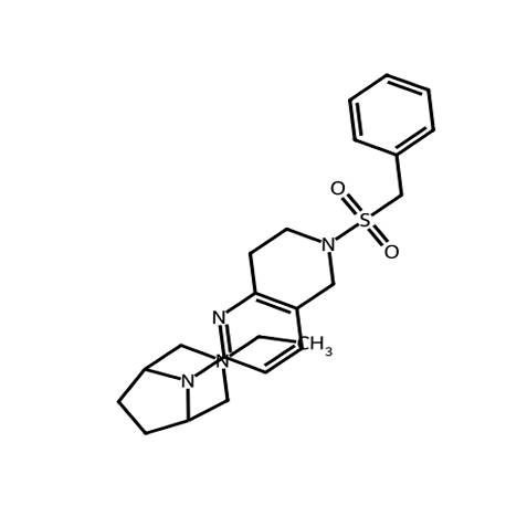 CCN1CC2CCC(C1)N2c1ccc2c(n1)CCN(S(=O)(=O)Cc1ccccc1)C2